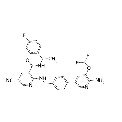 C[C@H](NC(=O)c1cc(C#N)cnc1NCc1ccc(-c2cnc(N)c(OC(F)F)c2)cc1)c1ccc(F)cc1